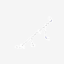 CC/C=C\CCCCOC(CCCC(=O)OCCCCCCN(CCCO)CCCCCCCC(=O)OCCCCCCCCC)OCCCC/C=C\CC